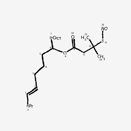 CCCC=CCCCC(CCCCCCCC)OC(=O)CC(C)(C)SN=O